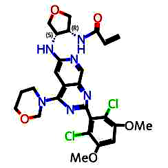 C=CC(=O)N[C@H]1COC[C@H]1Nc1cc2c(N3CCCOC3)nc(-c3c(Cl)c(OC)cc(OC)c3Cl)nc2cn1